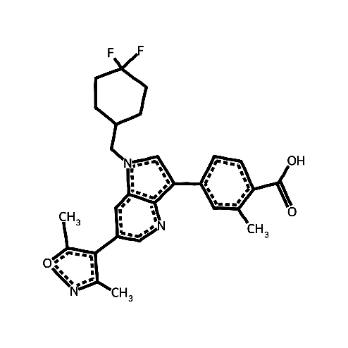 Cc1cc(-c2cn(CC3CCC(F)(F)CC3)c3cc(-c4c(C)noc4C)cnc23)ccc1C(=O)O